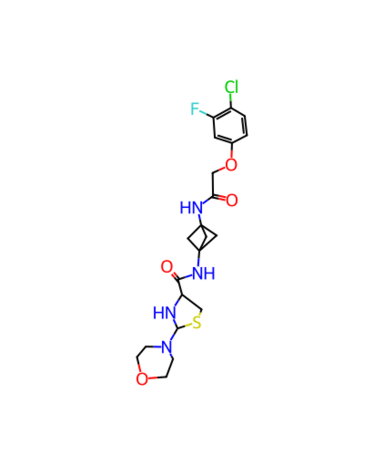 O=C(COc1ccc(Cl)c(F)c1)NC12CC(NC(=O)C3CSC(N4CCOCC4)N3)(C1)C2